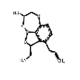 C=CCc1ccc2c3c1[C@@H](CN)OB3OC(C)CO2